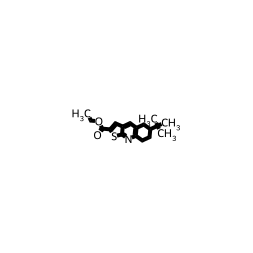 CCOC(=O)c1cc2cc3c(nc2s1)CCC(C(C)(C)C)C3